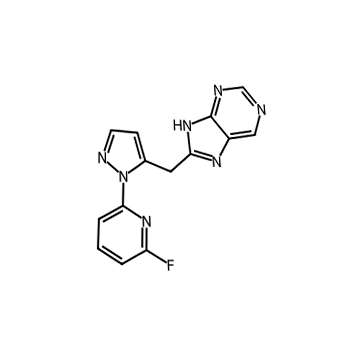 Fc1cccc(-n2nccc2Cc2nc3cncnc3[nH]2)n1